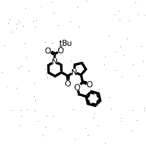 CC(C)(C)OC(=O)N1CCCC(C(=O)N2CCCC2C(=O)OCc2ccccc2)C1